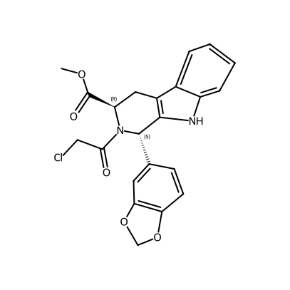 COC(=O)[C@H]1Cc2c([nH]c3ccccc23)[C@H](c2ccc3c(c2)OCO3)N1C(=O)CCl